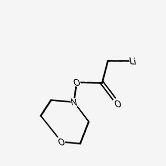 [Li][CH2]C(=O)ON1CCOCC1